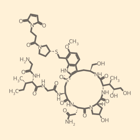 CC[C@H](C)[C@H](NC(=O)CN)C(=O)NCC(=O)N[C@H]1C[S+]([O-])c2[nH]c3c(CS[C@@H]4CCN(C(=O)CCN5C(=O)C=CC5=O)C4)c(OC)ccc3c2C[C@@H](CO)NC(=O)[C@H]([C@@H](C)[C@@H](O)CO)NC(=O)[C@@H]2C[C@@H](O)CN2C(=O)[C@H](CC(N)=O)NC1=O